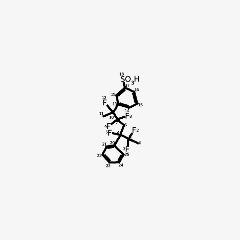 CC(F)(F)C(F)(CC(F)(F)C(C)(F)c1cccc(S(=O)(=O)O)c1)c1ccccc1